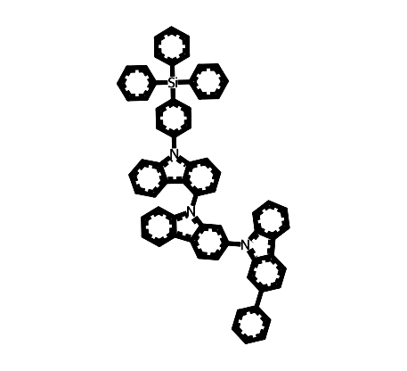 c1ccc(-c2ccc3c4ccccc4n(-c4ccc5c6ccccc6n(-c6cccc7c6c6ccccc6n7-c6ccc([Si](c7ccccc7)(c7ccccc7)c7ccccc7)cc6)c5c4)c3c2)cc1